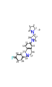 C[C@H]1CCCN1[C@H]1CCN(c2ccc3c(c2)CCN(Cc2ccc(F)cc2)C3)C1